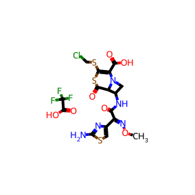 CON=C(C(=O)NC1CN2C(C(=O)O)=C(SCCl)SC(=O)C12)c1csc(N)n1.O=C(O)C(F)(F)F